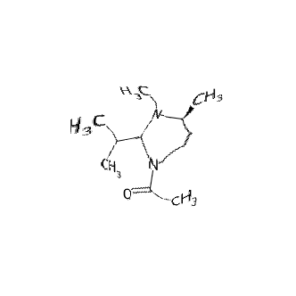 CC(=O)N1C[C@H](C)N(C)C1C(C)C